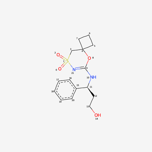 O=S1(=O)CC2(CCC2)OC(N[C@@H](CCO)c2ccccc2)=N1